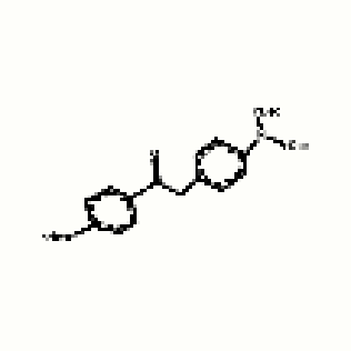 CCCCCCCCCCN(CCCCCCCCCC)c1ccc(CC(=O)c2ccc(CCCCCCC)cc2)cc1